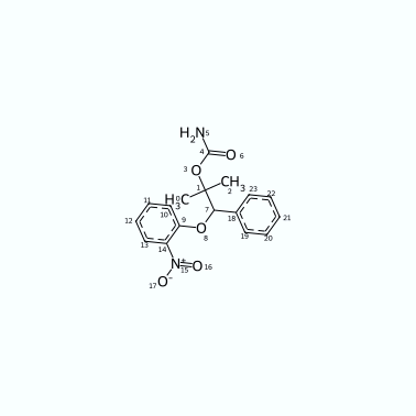 CC(C)(OC(N)=O)C(Oc1ccccc1[N+](=O)[O-])c1ccccc1